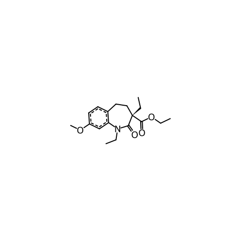 CCOC(=O)[C@@]1(CC)CCc2ccc(OC)cc2N(CC)C1=O